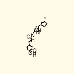 O=C(/C=C/c1ccc(O)c(O)c1)NCc1cn(Cc2cccc(F)c2)nn1